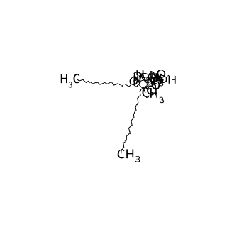 CCCCCCCCCCCCCCCCCCC1=C([N+](=O)[O-])C(C)=C([N+](=O)[O-])C(Cl)C1(C)CCCCCCCCCCCCCCCCCC.NS(=O)(=O)O